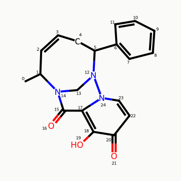 CC1/C=C\CC(c2ccccc2)N2CN1C(=O)c1c(O)c(=O)ccn12